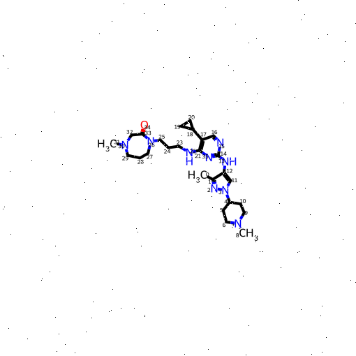 Cc1nn(C2CCN(C)CC2)cc1Nc1ncc(C2CC2)c(NCCCN2CCCN(C)CC2=O)n1